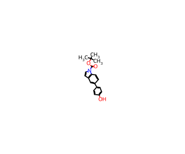 CC(C)(C)OC(=O)n1ccc2cc(-c3ccc(O)cc3)ccc21